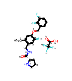 COc1cc(OCc2cccc(F)c2F)c(F)cc1CNC(=O)[C@@H]1CCCN1.O=C(O)C(F)(F)F